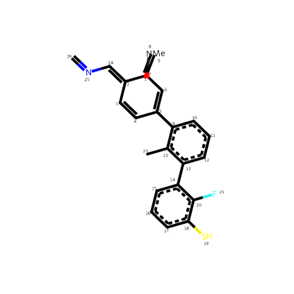 C=CC(/C=C\C(=C/CNC)c1cccc(-c2cccc(S)c2F)c1C)=C/N=C